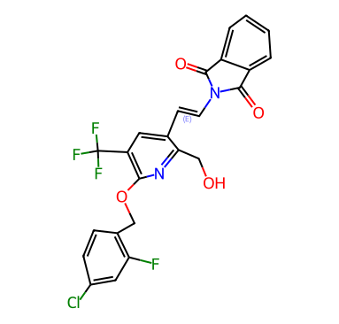 O=C1c2ccccc2C(=O)N1/C=C/c1cc(C(F)(F)F)c(OCc2ccc(Cl)cc2F)nc1CO